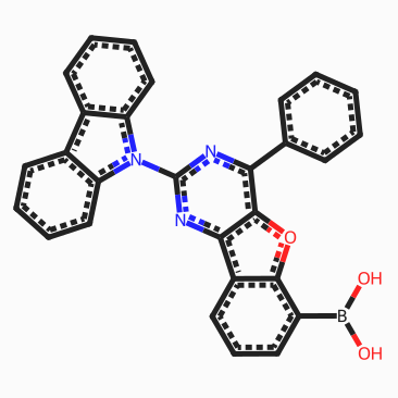 OB(O)c1cccc2c1oc1c(-c3ccccc3)nc(-n3c4ccccc4c4ccccc43)nc12